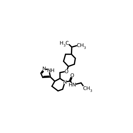 CCNC(=O)N1CCCC(c2ccn[nH]2)C1COC1CCC(C(C)C)CC1